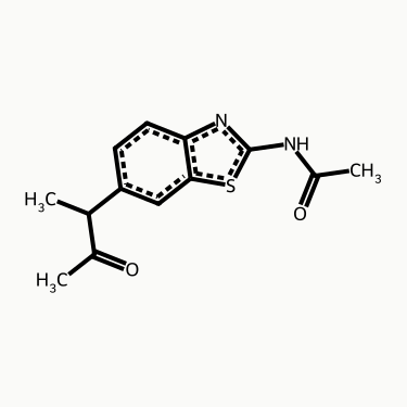 CC(=O)Nc1nc2ccc(C(C)C(C)=O)cc2s1